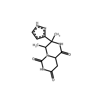 CC1N2C(=O)NC(=O)CC2C(=O)NC1(C)c1cc[nH]n1